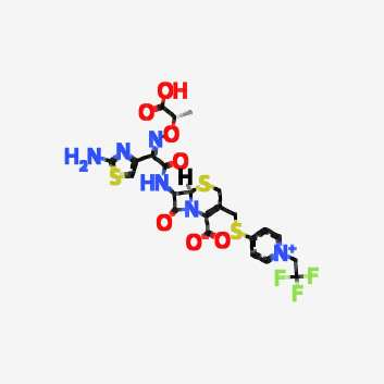 C[C@H](O/N=C(\C(=O)N[C@@H]1C(=O)N2C(C(=O)[O-])=C(CSc3cc[n+](CC(F)(F)F)cc3)CS[C@H]12)c1csc(N)n1)C(=O)O